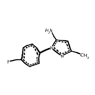 Cc1cc(N)n(-c2ccc(F)cc2)n1